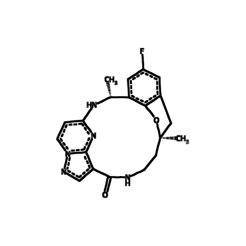 C[C@H]1Nc2ccn3ncc(c3n2)C(=O)NCC[C@]2(C)Cc3cc(F)cc1c3O2